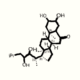 CC(C)CC(O)C(O)[C@@H](C)[C@H]1CC[C@H]2[C@@H]3CC(=O)C4CC(O)C(O)C[C@]4(C)[C@H]3CC[C@]12C